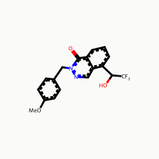 COc1ccc(Cn2ncc3c(C(O)C(F)(F)F)cccc3c2=O)cc1